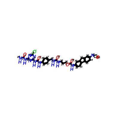 CNC(=O)Nc1nc(Cl)nc(NC(=O)Nc2ccc(CNC(=O)NCCCOC(=O)Nc3ccc4c(c3)Cc3cc(N=C=O)ccc3-4)cc2)n1